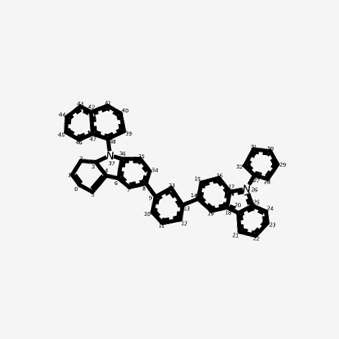 C1=CCC2C(=C1)c1cc(-c3cccc(-c4ccc5c(c4)c4ccccc4n5-c4ccccc4)c3)ccc1N2c1cccc2ccccc12